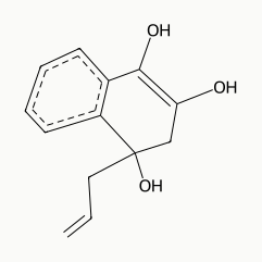 C=CCC1(O)CC(O)=C(O)c2ccccc21